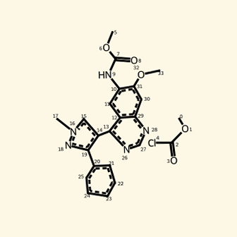 COC(=O)Cl.COC(=O)Nc1cc2c(-c3cn(C)nc3-c3ccccc3)ncnc2cc1OC